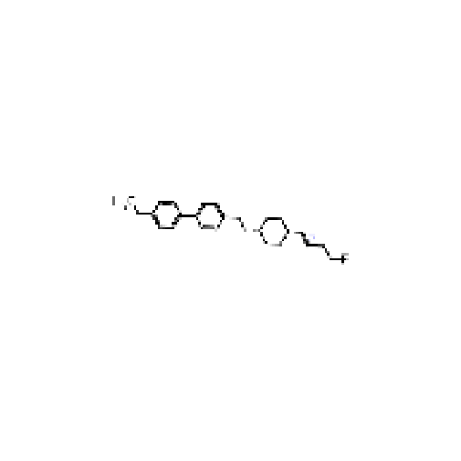 CCc1ccc(-c2ccc(CC[C@H]3CC[C@H](/C=C/CCF)CC3)cc2)cc1